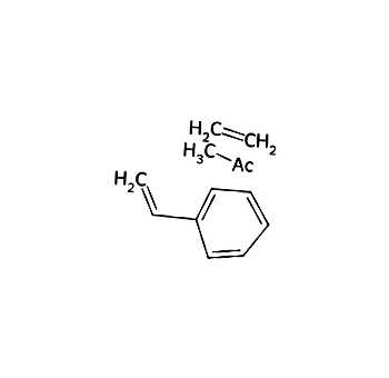 C=C.C=Cc1ccccc1.CC(C)=O